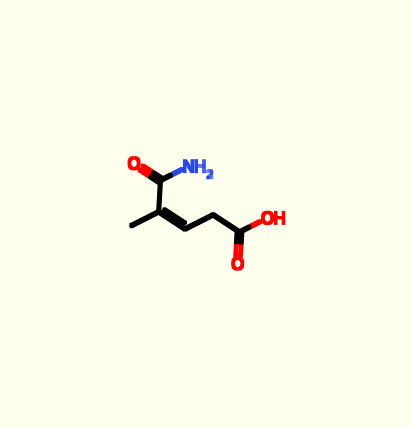 CC(=CCC(=O)O)C(N)=O